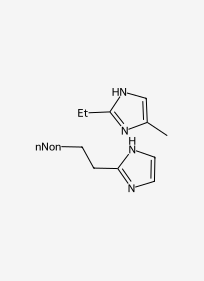 CCCCCCCCCCCc1ncc[nH]1.CCc1nc(C)c[nH]1